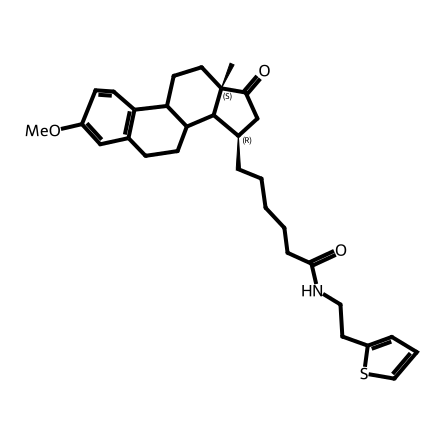 COc1ccc2c(c1)CCC1C2CC[C@]2(C)C(=O)C[C@@H](CCCCCC(=O)NCCc3cccs3)C12